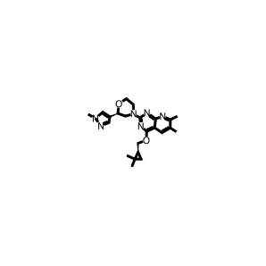 Cc1cc2c(OC[C@H]3CC3(C)C)nc(N3CCO[C@H](c4cnn(C)c4)C3)nc2nc1C